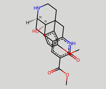 COC(=O)c1cc2c([nH]c1=O)CC13CCN[C@H](Cc4ccc(OC)cc41)[C@]3(O)C2